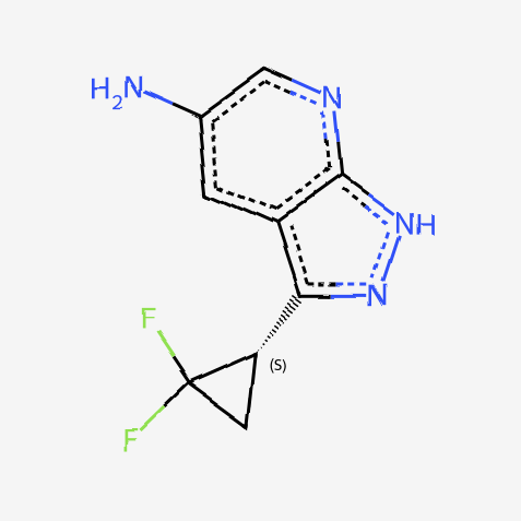 Nc1cnc2[nH]nc([C@@H]3CC3(F)F)c2c1